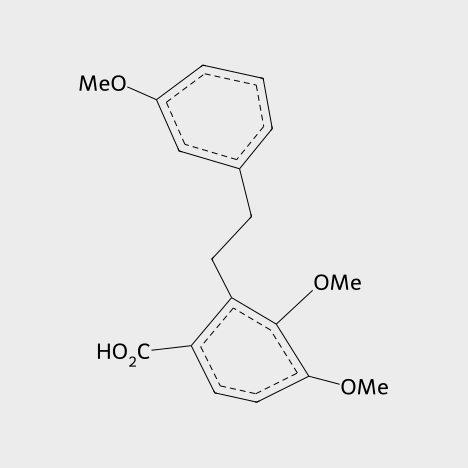 COc1cccc(CCc2c(C(=O)O)ccc(OC)c2OC)c1